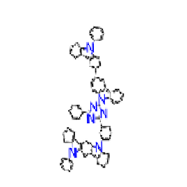 c1ccc(-c2nc(-c3cccc(-n4c5ccccc5c5cc6c(cc54)c4ccccc4n6-c4ccccc4)c3)nc(-n3c4ccccc4c4cc(-c5ccc6c(c5)c5ccccc5n6-c5ccccc5)ccc43)n2)cc1